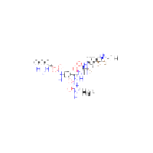 Cc1nnc(SCC2=C(C(=O)[O-])N3C(=O)[C@@H](NC(=O)[C@H](NC(=O)N4CCNC4=O)c4ccc(NC(=O)OC[C@@H](N)C(=O)[O-])cc4)[C@@H]3SC2)s1.[Na+].[Na+]